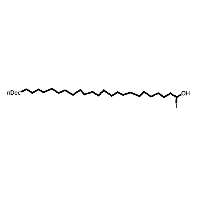 CCCCCCCCCCCCCCCCCCCCCCCCCCCCCCCCCC(O)I